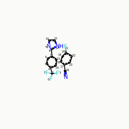 FC(F)(F)c1ccc(-c2ncc[nH]2)cc1.N#Cc1ccc(F)cc1